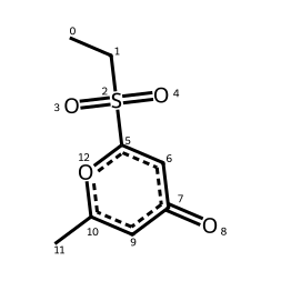 CCS(=O)(=O)c1cc(=O)cc(C)o1